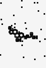 CC12CCC3C(CC(O)C4C/C(=N/OCC(=O)O)CCC43C)C1CCC2=O